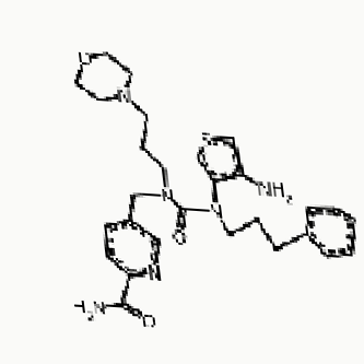 NC(=O)c1ccc(CN(CCCN2CCOCC2)C(=O)N(CCCc2ccccc2)c2cscc2N)cn1